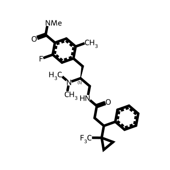 CNC(=O)c1cc(C)c(C[C@@H](CNC(=O)CC(c2ccccc2)C2(C(F)(F)F)CC2)N(C)C)cc1F